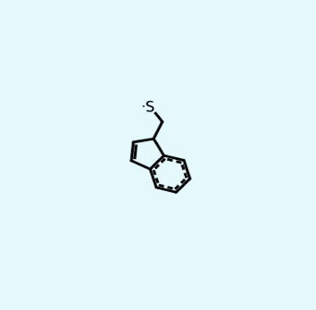 [S]CC1C=Cc2ccccc21